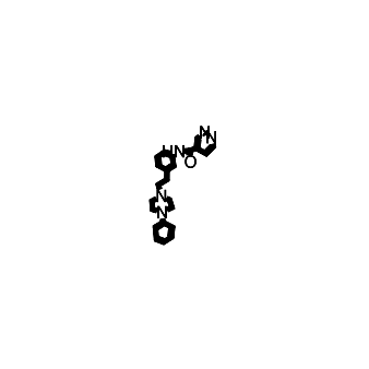 O=C(Nc1cccc(CCN2CCN(c3ccccc3)CC2)c1)c1ccnnc1